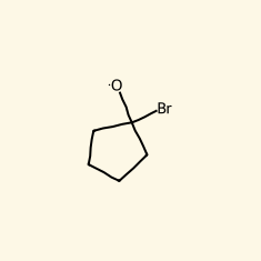 [O]C1(Br)CCCC1